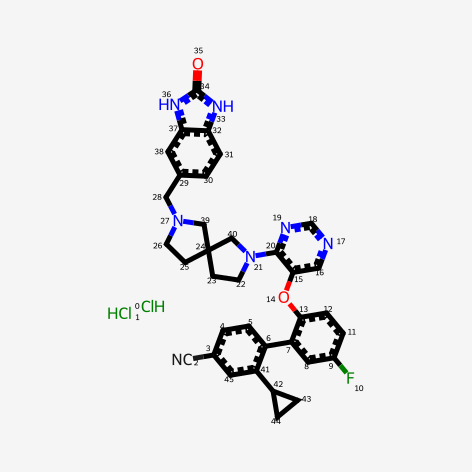 Cl.Cl.N#Cc1ccc(-c2cc(F)ccc2Oc2cncnc2N2CCC3(CCN(Cc4ccc5[nH]c(=O)[nH]c5c4)C3)C2)c(C2CC2)c1